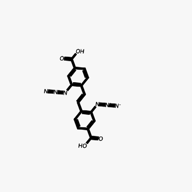 [N-]=[N+]=Nc1cc(C(=O)O)ccc1C=Cc1ccc(C(=O)O)cc1N=[N+]=[N-]